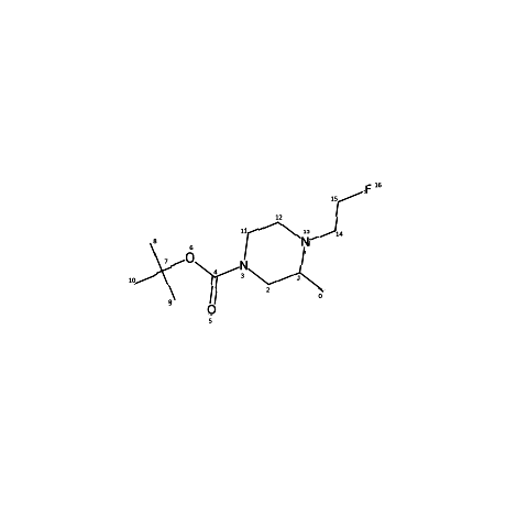 CC1CN(C(=O)OC(C)(C)C)CCN1CCF